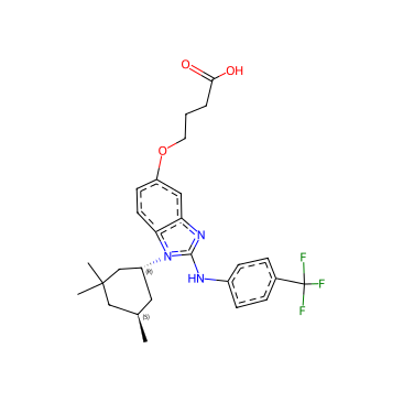 C[C@@H]1C[C@@H](n2c(Nc3ccc(C(F)(F)F)cc3)nc3cc(OCCCC(=O)O)ccc32)CC(C)(C)C1